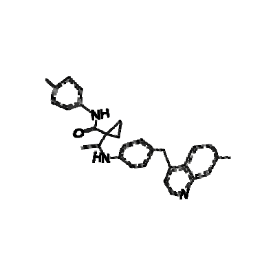 C=C(Nc1ccc(Cc2ccnc3cc(C)ccc23)cc1)C1(C(=O)Nc2ccc(C)cc2)CC1